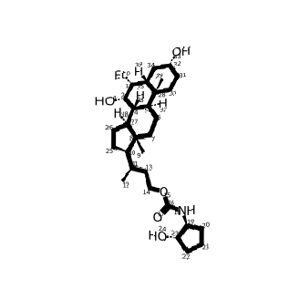 CC[C@H]1[C@@H](O)[C@@H]2[C@H](CC[C@]3(C)[C@@H]([C@H](C)CCOC(=O)N[C@H]4CCC[C@@H]4O)CC[C@@H]23)[C@@]2(C)CC[C@@H](O)C[C@@H]12